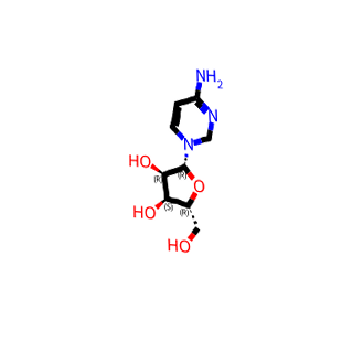 NC1=NCN([C@@H]2O[C@H](CO)[C@@H](O)[C@H]2O)C=C1